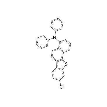 Clc1ccc2c(c1)sc1c3cccc(N(c4ccccc4)c4ccccc4)c3ccc21